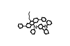 CCCCc1c2cc(-c3ccccc3)ccc2c(N(c2ccccc2)c2ccc3c(c2)c2ccccc2n3-c2ccccc2)c2cc(-c3ccccc3)ccc12